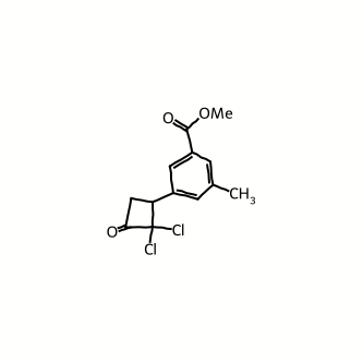 COC(=O)c1cc(C)cc(C2CC(=O)C2(Cl)Cl)c1